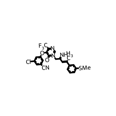 CSc1cccc(/C(C)=C/C(=N)Cn2cnc(C(F)(F)F)c(Oc3cc(Cl)cc(C#N)c3)c2=O)c1